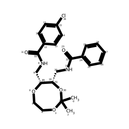 CC1(C)OCCO[C@H](CNC(=O)c2ccc(Cl)cc2)[C@H](CNC(=O)c2ccccc2)O1